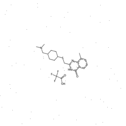 Cc1cccc2c(=O)[nH]c(CSC3CCC(CN(C)C)CC3)nc12.O=C(O)C(F)(F)F